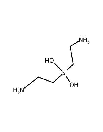 NCC[Si](O)(O)CCN